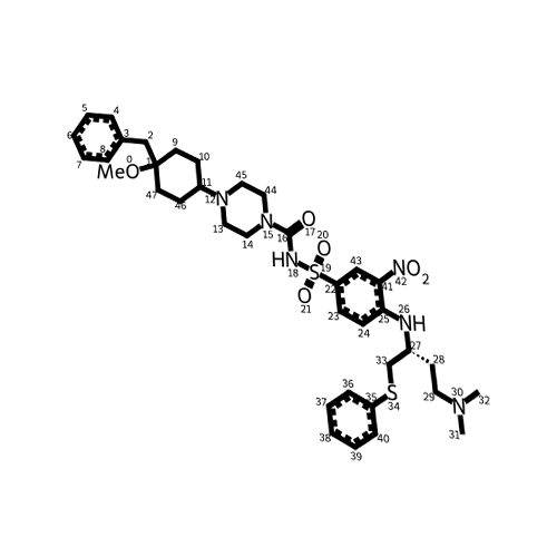 COC1(Cc2ccccc2)CCC(N2CCN(C(=O)NS(=O)(=O)c3ccc(N[C@H](CCN(C)C)CSc4ccccc4)c([N+](=O)[O-])c3)CC2)CC1